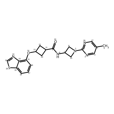 Cc1cnc(N2CC(NC(=O)C3CC(Oc4cccc5scnc45)C3)C2)nc1